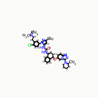 CC1CCCCN1c1nnc2ccc(O[C@@H]3CC[C@H](NC(=O)Nc4cc(C(C)(C)C)nn4-c4ccc(Cl)c(CCN(C)C)c4)c4ccccc43)cn12